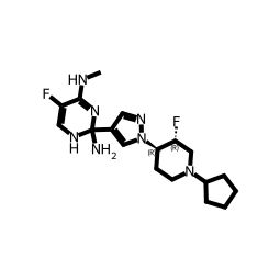 CNC1=NC(N)(c2cnn([C@@H]3CCN(C4CCCC4)C[C@H]3F)c2)NC=C1F